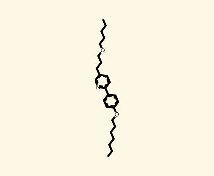 CCCCCCCOc1ccc(-c2ccc(CCCOCCCCC)cn2)cc1